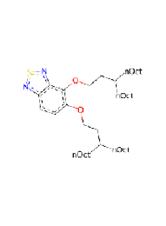 CCCCCCCCC(CCCCCCCC)CCOc1ccc2nsnc2c1OCCC(CCCCCCCC)CCCCCCCC